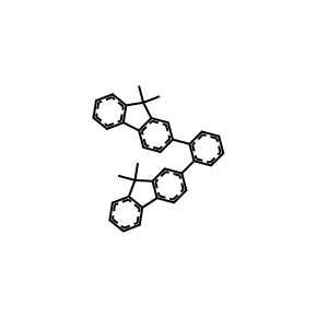 CC1(C)c2ccccc2-c2ccc(-c3ccccc3-c3ccc4c(c3)C(C)(C)c3ccccc3-4)cc21